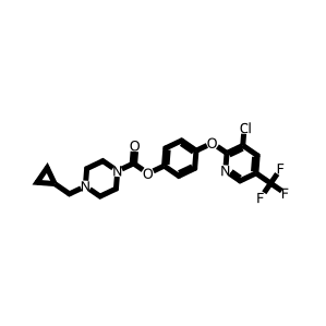 O=C(Oc1ccc(Oc2ncc(C(F)(F)F)cc2Cl)cc1)N1CCN(CC2CC2)CC1